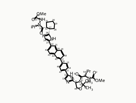 COC(=O)NC(C(=O)N1[C@H](c2ncc(-c3ccc(-c4ccc5cc(-c6cnc([C@H]7CCCC[C@H]7C(=O)N(NC(=O)OC)C(C)C)[nH]6)ccc5c4)cc3)[nH]2)COC1(C)C)C(C)C